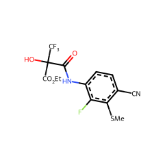 CCOC(=O)C(O)(C(=O)Nc1ccc(C#N)c(SC)c1F)C(F)(F)F